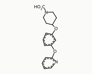 O=C(O)N1CCC(Oc2cccc(Oc3ccccn3)c2)CC1